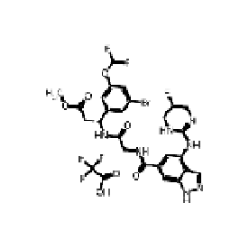 COC(=O)C[C@H](NC(=O)CNC(=O)c1cc(NC2=NCC(F)CN2)c2cn[nH]c2c1)c1cc(Br)cc(OC(F)F)c1.O=C(O)C(F)(F)F